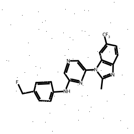 Cc1nc2ccc(C(F)(F)F)cc2n1-c1cncc(Nc2ccc(CF)cc2)n1